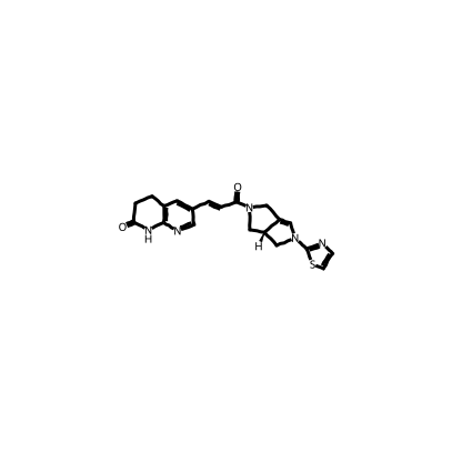 O=C1CCc2cc(/C=C/C(=O)N3CC4=CN(c5nccs5)C[C@@H]4C3)cnc2N1